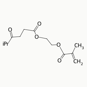 C=C(C)C(=O)OCCOC(=O)CCC(=O)C(C)C